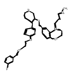 COCCCN1CCOc2ccc(COC3CNCCC3c3ccc(OCCOCc4cccc(F)c4)cc3)cc21